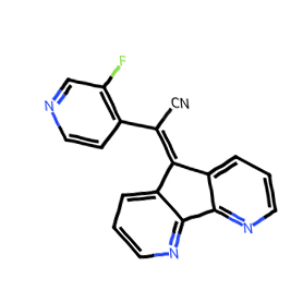 N#CC(=C1c2cccnc2-c2ncccc21)c1ccncc1F